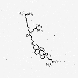 CC(N)CCCCCCCN(CCC(C)N)C(=O)CCSSC1CCC2(C)C(=CCC3C2CCC2(C)C(CCCC(C)C(C)C)CCC32)C1